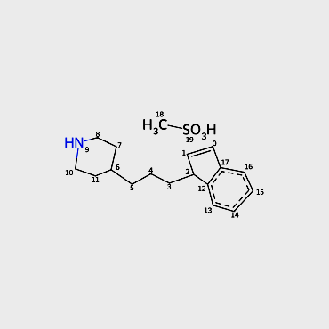 C1=CC(CCCC2CCNCC2)c2ccccc21.CS(=O)(=O)O